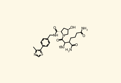 Cc1ncsc1-c1ccc(CNC(=O)[C@@H]2C[C@@H](O)CN2C(=O)C(C(CCCC(N)=O)C(N)=O)C(C)(C)C)cc1